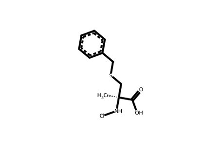 C[C@@](CSCc1ccccc1)(NCl)C(=O)O